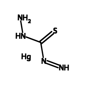 N=NC(=S)NN.[Hg]